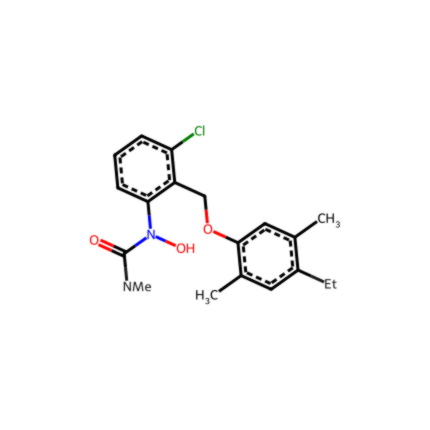 CCc1cc(C)c(OCc2c(Cl)cccc2N(O)C(=O)NC)cc1C